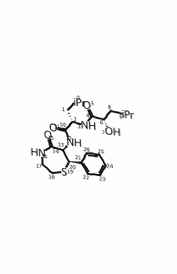 CC(C)C[C@H](NC(=O)[C@@H](O)CC(C)C)C(=O)N[C@@H]1C(=O)NCCS[C@@H]1c1ccccc1